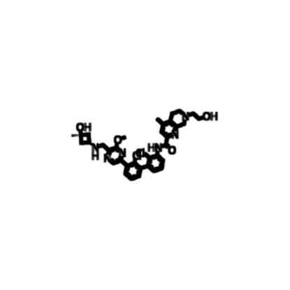 COc1nc(-c2cccc(-c3cccc(NC(=O)c4cc(C)c5c(n4)CN(CCO)CC5)c3Cl)c2Cl)cnc1CN[C@H]1C[C@](C)(O)C1